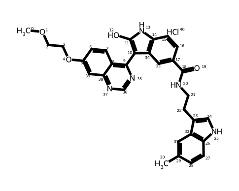 COCCOc1ccc2c(-c3c(O)[nH]c4ccc(C(=O)NCCc5c[nH]c6ccc(C)cc56)cc34)ncnc2c1.Cl